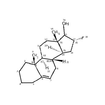 C[C@]12CCCCC1=CC[C@@H]1[C@@H]2CC[C@]2(C)C(O)[C@H](F)C[C@@H]12